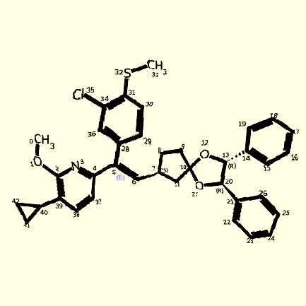 COc1nc(/C(=C/[C@H]2CCC3(C2)O[C@H](c2ccccc2)[C@@H](c2ccccc2)O3)c2ccc(SC)c(Cl)c2)ccc1C1CC1